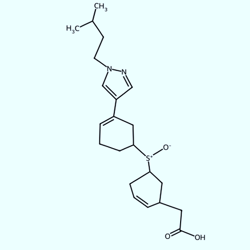 CC(C)CCn1cc(C2=CCCC([S+]([O-])C3CC=CC(CC(=O)O)C3)C2)cn1